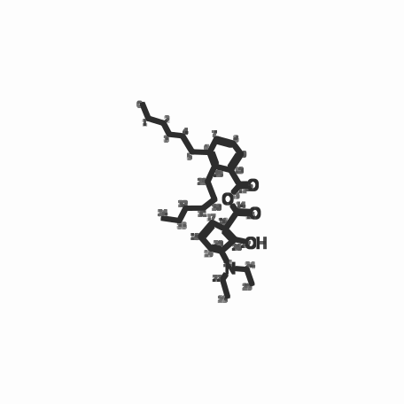 CCCCCCc1cccc(C(=O)OC(=O)c2cccc(N(CC)CC)c2O)c1CCCCCC